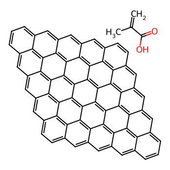 C=C(C)C(=O)O.c1cc2cc3cc4cc5ccc6cc7cc8cc9cccc%10cc%11cc%12cc%13ccc%14cc%15cc%16cc(c1)c2c1c3c2c4c3c5c6c4c7c5c8c(c9%10)c%11c6c%12c7c%13c%14c8c%15c(c%161)c2c1c3c4c(c56)c7c81